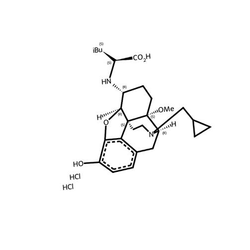 CC[C@H](C)[C@H](N[C@@H]1CC[C@@]2(OC)[C@H]3Cc4ccc(O)c5c4[C@@]2(CCN3CC2CC2)[C@H]1O5)C(=O)O.Cl.Cl